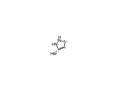 Br.C1=CSNN1